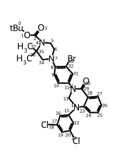 CC(C)(C)OC(=O)N1CCN(c2ccc(N3CN(c4cc(Cl)cc(Cl)c4)c4ccccc4C3=O)cc2Br)CC1(C)C